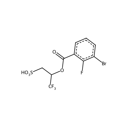 O=C(OC(CS(=O)(=O)O)C(F)(F)F)c1cccc(Br)c1F